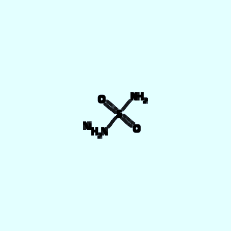 NS(N)(=O)=O.[Ni]